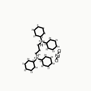 C1CCC([PH+](CCC[PH+](C2CCCCC2)C2CCCCC2)C2CCCCC2)CC1.[Cl][Pd][Cl]